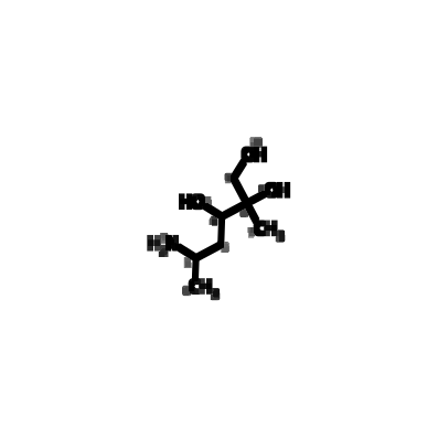 CC(N)CC(O)C(C)(O)CO